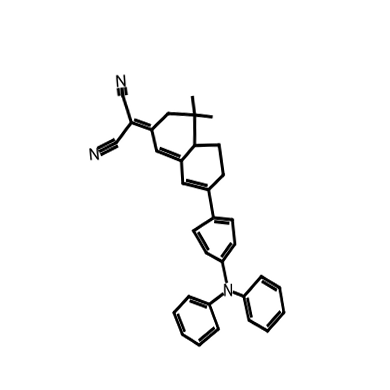 CC1(C)CC(=C(C#N)C#N)C=C2C=C(c3ccc(N(c4ccccc4)c4ccccc4)cc3)CCC21